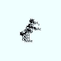 CNC(=O)NC(=O)NC(C(=O)NC1C(=O)N2C(C(=O)OCOC(C)=O)=C(CSc3nnnn3C)CS[C@@H]12)c1cccs1